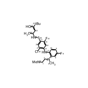 CNCCN(C)c1cc(F)ccc1Nc1cc(F)c(SNC(C)/C=C(\O)C(C)(C)C)cc1Cl